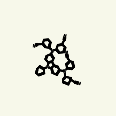 N#Cc1cccc(N(c2cccc(C#N)c2)c2ccc3c(c2)c2cc(N(c4cccc(C#N)c4)c4cccc(C#N)c4)ccc2n3-c2ccccc2)c1